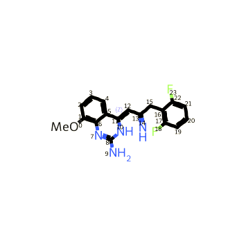 COc1cccc2c1N=C(N)N/C2=C\C(=N)Cc1c(F)cccc1F